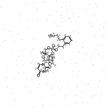 CC(C)(C)SSc1ccccc1CCOP1(=O)OC[C@H]2O[C@@H](n3ccc(=O)[nH]c3=O)[C@](C)(F)[C@@H]2O1